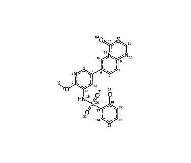 COc1ncc(-c2ccc3nccc(=O)n3c2)cc1NS(=O)(=O)c1ccccc1Cl